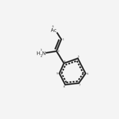 CC(=O)C=C(N)c1ccccc1